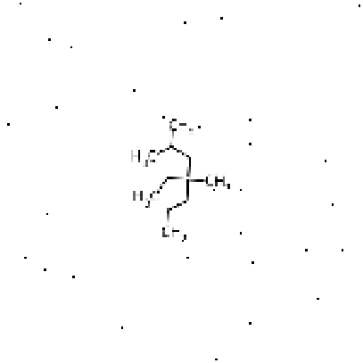 [CH2]C(C)CC(C)(CC)CCC